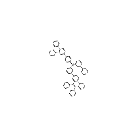 c1ccc(-c2cccc(N(c3ccc(-c4ccc(-c5ccccc5)c(-c5ccccc5)c4)cc3)c3cccc(-c4ccc5c(c4)c(-c4ccccc4)c(-c4ccccc4)c4ccccc45)c3)c2)cc1